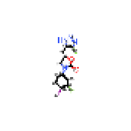 O=C1O[C@H](Cc2[nH]nnc2F)CN1c1ccc(I)c(F)c1